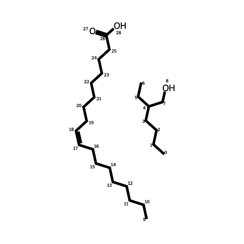 CCCCC(CC)CO.CCCCCCCC/C=C\CCCCCCCC(=O)O